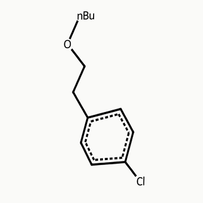 [CH2]CCCOCCc1ccc(Cl)cc1